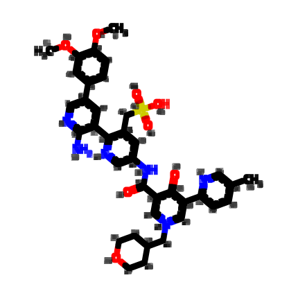 COc1ccc(-c2cnc(N)c(-c3ncc(NC(=O)c4cn(CC5CCOCC5)cc(-c5ccc(C)cn5)c4=O)cc3CS(=O)(=O)O)c2)cc1OC